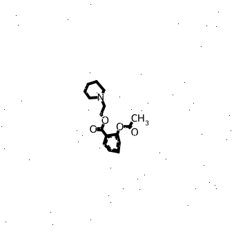 CC(=O)Oc1ccccc1C(=O)OCCN1CCCCC1